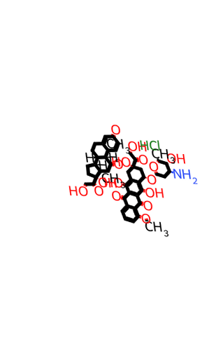 COc1cccc2c1C(=O)c1c(O)c3c(c(O)c1C2=O)C[C@@](O)(C(=O)CO)C[C@@H]3O[C@H]1C[C@H](N)[C@H](O)[C@H](C)O1.C[C@]12C=CC(=O)C=C1CC[C@@H]1[C@@H]2C(=O)C[C@@]2(C)[C@H]1CC[C@]2(O)C(=O)CO.Cl